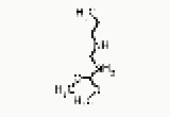 CCCNC[SiH2]C(OC)OC